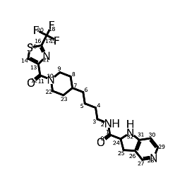 O=C(NCCCCC1CCN(C(=O)c2csc(C(F)(F)F)n2)CC1)C1Cc2cnccc2N1